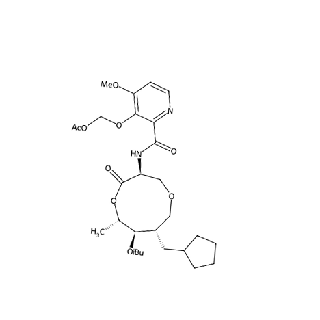 COc1ccnc(C(=O)N[C@H]2COC[C@H](CC3CCCC3)[C@@H](OCC(C)C)[C@H](C)OC2=O)c1OCOC(C)=O